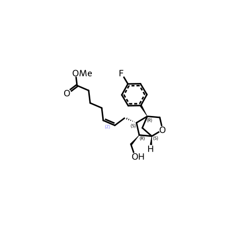 COC(=O)CCC/C=C\C[C@H]1[C@H](CO)[C@@H]2C[C@@]1(c1ccc(F)cc1)CO2